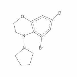 Clc1cc(Br)c2c(c1)OCCN2N1CCCC1